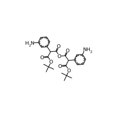 CC(C)(C)OC(=O)C(C(=O)OC(=O)C(C(=O)OC(C)(C)C)c1cccc(N)c1)c1cccc(N)c1